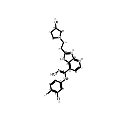 ON=C(Nc1ccc(F)c(Cl)c1)c1ccnc2nc(CCN3CCC(O)C3)[nH]c12